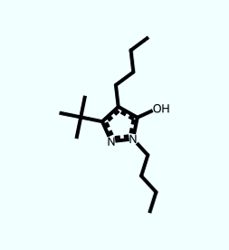 CCCCc1c(C(C)(C)C)nn(CCCC)c1O